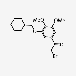 COc1cc(C(=O)CBr)cc(OCC2CCCCC2)c1OC